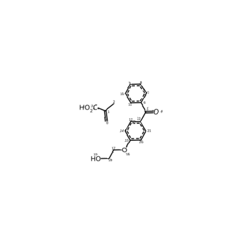 C=C(C)C(=O)O.O=C(c1ccccc1)c1ccc(OCCO)cc1